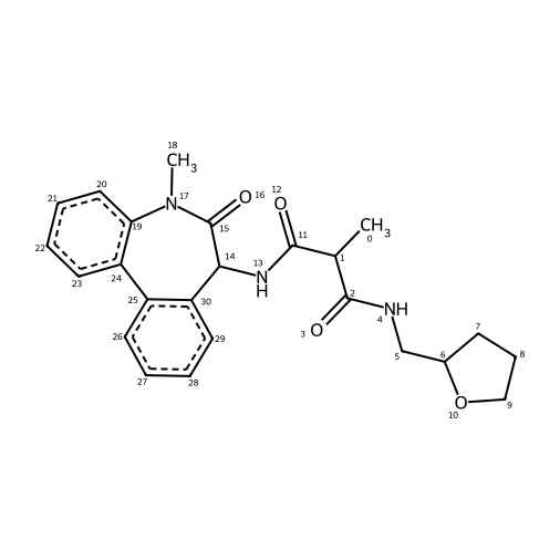 CC(C(=O)NCC1CCCO1)C(=O)NC1C(=O)N(C)c2ccccc2-c2ccccc21